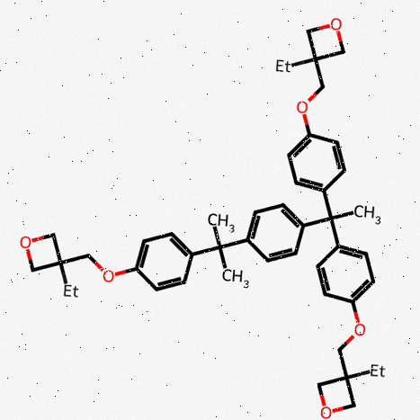 CCC1(COc2ccc(C(C)(C)c3ccc(C(C)(c4ccc(OCC5(CC)COC5)cc4)c4ccc(OCC5(CC)COC5)cc4)cc3)cc2)COC1